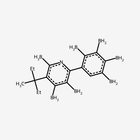 Bc1cc(-c2nc(B)c(C(C)(CC)CC)c(B)c2B)c(B)c(B)c1B